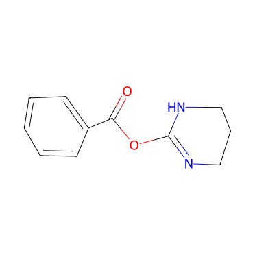 O=C(OC1=NCCCN1)c1ccccc1